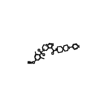 COc1cc(C)c(S(=O)(=O)N2CCn3cnc(C(=O)N4CCC5(CC4)CCN(c4ccncc4)CC5)c3C2)c(C)c1